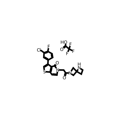 O=C(Cn1ccc2scc(-c3ccc(F)c(Cl)c3)c2c1=O)N1CC2(CCN2)C1.O=C(O)C(F)(F)F